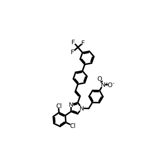 O=[N+]([O-])c1ccc(Cn2cc(-c3c(Cl)cccc3Cl)nc2C=Cc2ccc(-c3cccc(C(F)(F)F)c3)cc2)cc1